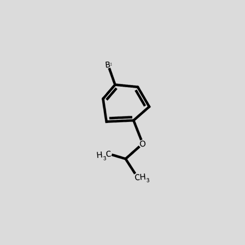 [B]c1ccc(OC(C)C)cc1